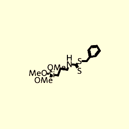 CO[Si](CCCNC(=S)SCc1ccccc1)(OC)OC